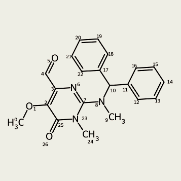 COc1c(C=O)nc(N(C)C(c2ccccc2)c2ccccc2)n(C)c1=O